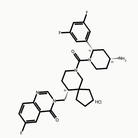 Cl.N[C@@H]1CCN(C(=O)N2CC[C@@H](Cn3cnc4ccc(F)cc4c3=O)C3(CCCC3)C2)[C@H](c2cc(F)cc(F)c2)C1